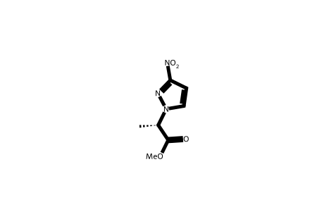 COC(=O)[C@H](C)n1ccc([N+](=O)[O-])n1